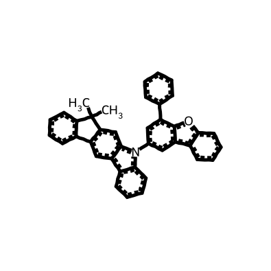 CC1(C)c2ccccc2-c2cc3c4ccccc4n(-c4cc(-c5ccccc5)c5oc6ccccc6c5c4)c3cc21